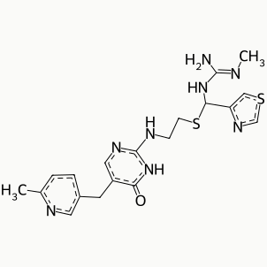 CN=C(N)NC(SCCNc1ncc(Cc2ccc(C)nc2)c(=O)[nH]1)c1cscn1